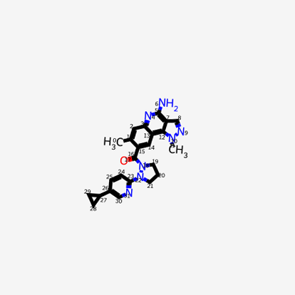 Cc1cc2nc(N)c3cnn(C)c3c2cc1C(=O)N1CCCN1c1ccc(C2CC2)cn1